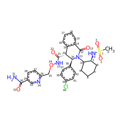 CS(=O)(=O)N[C@H]1CCCCC1N1C(=O)c2ccccc2[C@@H](C(=O)NOCc2ccc(C(N)=O)cn2)[C@@H]1c1ccc(Cl)cc1